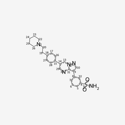 NS(=O)(=O)c1cccc(-c2cnn3cc(-c4ccc(CCN5CCCCC5)cc4)cnc23)c1